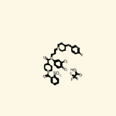 O=C(O)C(F)(F)F.O=C(c1ccccc1[N+](=O)[O-])N1CCC(C(=O)N(CCCN2CCC(Cc3ccc(F)cc3)CC2)c2ccc(Cl)c(Cl)c2)CC1